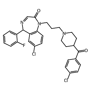 O=C(c1ccc(Cl)cc1)C1CCN(CCCN2C(=O)C=NC(c3ccccc3F)c3cc(Cl)ccc32)CC1